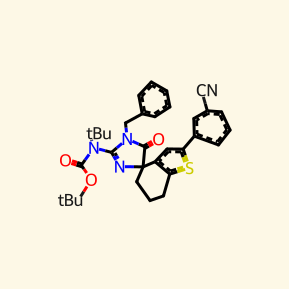 CC(C)(C)OC(=O)N(C1=NC2(CCCc3sc(-c4cccc(C#N)c4)cc32)C(=O)N1Cc1ccccc1)C(C)(C)C